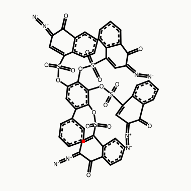 [N-]=[N+]=C1C=C(S(=O)(=O)Oc2cc(-c3ccccc3)c(OS(=O)(=O)C3=CC(=[N+]=[N-])C(=O)c4ccccc43)c(OS(=O)(=O)C3=CC(=[N+]=[N-])C(=O)c4ccccc43)c2OS(=O)(=O)C2=CC(=[N+]=[N-])C(=O)c3ccccc32)c2ccccc2C1=O